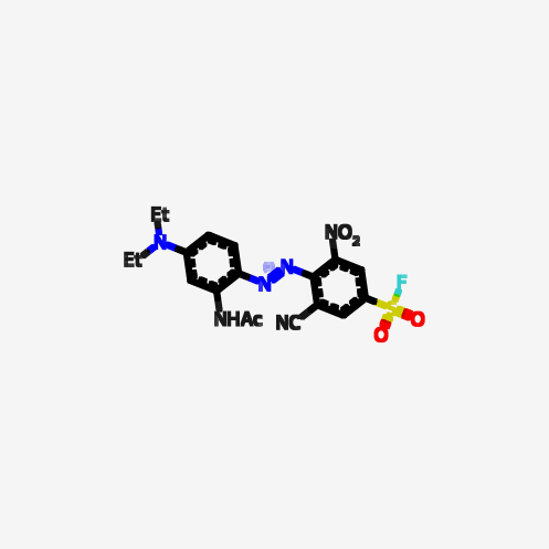 CCN(CC)c1ccc(/N=N/c2c(C#N)cc(S(=O)(=O)F)cc2[N+](=O)[O-])c(NC(C)=O)c1